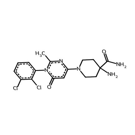 Cc1nc(N2CCC(N)(C(N)=O)CC2)cc(=O)n1-c1cccc(Cl)c1Cl